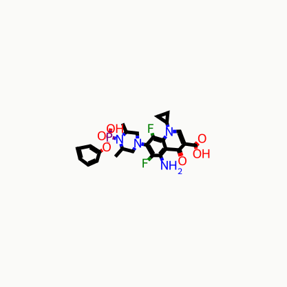 CC1CN(c2c(F)c(N)c3c(=O)c(C(=O)O)cn(C4CC4)c3c2F)CC(C)N1P(=O)(O)Oc1ccccc1